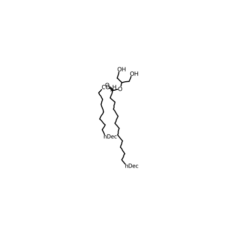 CCCCCCCCCCCCCCCCCC(=O)O.CCCCCCCCCCCCCCCCCCCCCC(=O)OC(CO)CO